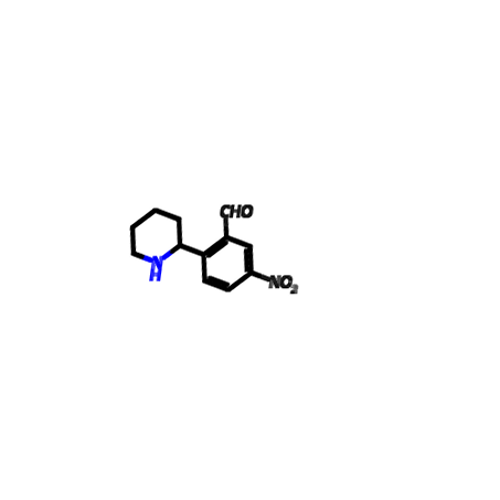 O=Cc1cc([N+](=O)[O-])ccc1C1CCCCN1